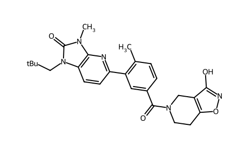 Cc1ccc(C(=O)N2CCc3onc(O)c3C2)cc1-c1ccc2c(n1)n(C)c(=O)n2CC(C)(C)C